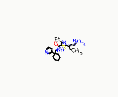 C=C/C(=C\C=C/N)c1nc(CC)c(C(=O)NCC2(c3cccnc3)CCCCC2)s1